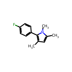 Cc1cc(C)n(C)c1-c1ccc(F)cc1